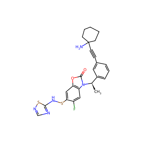 C[C@H](c1cccc(C#CC2(N)CCCCC2)c1)n1c(=O)oc2cc(SNc3ncns3)c(F)cc21